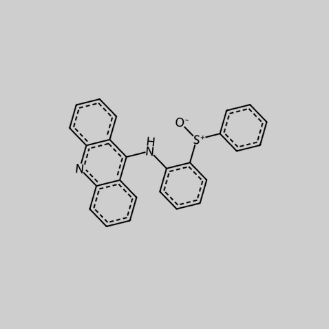 [O-][S+](c1ccccc1)c1ccccc1Nc1c2ccccc2nc2ccccc12